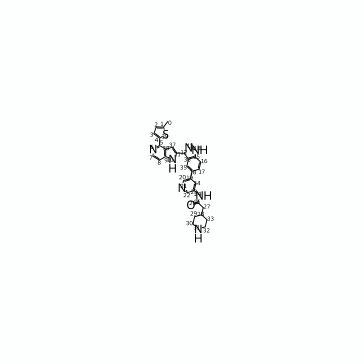 Cc1ccc(-c2nccc3[nH]c(-c4n[nH]c5ccc(-c6cncc(NC(=O)CC7CCNCC7)c6)cc45)cc23)s1